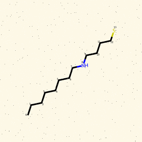 CCCCCCCCNCCCC[S]